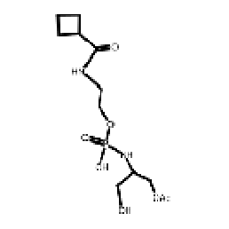 CC(=O)OCC(CO)NP(=O)(O)OCCNC(=O)C1CCC1